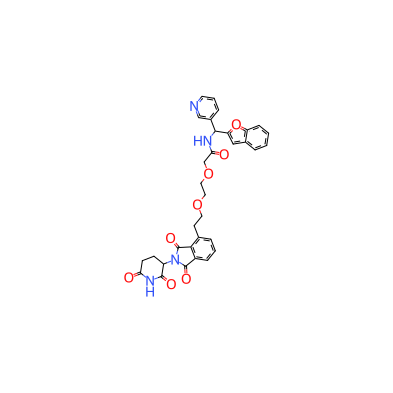 O=C1CCC(N2C(=O)c3cccc(CCOCCOCC(=O)NC(c4cccnc4)c4cc5ccccc5o4)c3C2=O)C(=O)N1